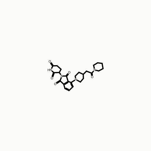 O=C1CCC(N2C(=O)c3cccc(N4CCC(CC(=O)N5CCCCC5)CC4)c3C2=O)C(=O)N1